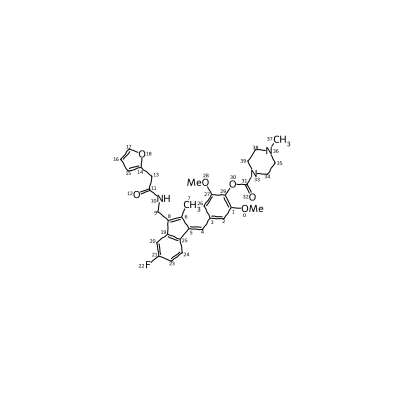 COc1cc(C=C2C(C)=C(CNC(=O)Cc3ccco3)c3cc(F)ccc32)cc(OC)c1OC(=O)N1CCN(C)CC1